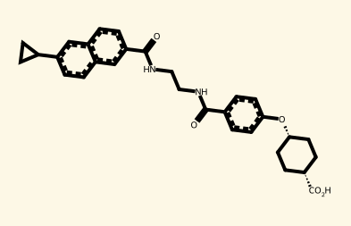 O=C(NCCNC(=O)c1ccc2cc(C3CC3)ccc2c1)c1ccc(O[C@H]2CC[C@@H](C(=O)O)CC2)cc1